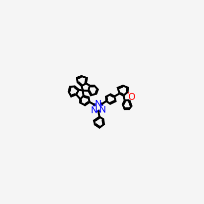 c1ccc(-c2nc(-c3ccc(-c4cccc5oc6ccccc6c45)cc3)nc(-c3ccc4c(c3)C3(c5ccccc5-c5ccccc53)c3ccccc3-4)n2)cc1